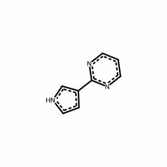 [c]1[nH]ccc1-c1ncccn1